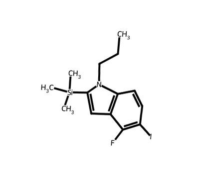 CCCn1c([Si](C)(C)C)cc2c(F)c(I)ccc21